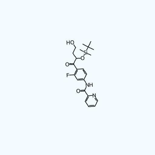 CC(C)(C)[Si](C)(C)OC(CCO)C(=O)c1ccc(NC(=O)c2ccccn2)cc1F